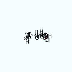 O=C1CCC(N2Cc3c(C#CCCCNC(=O)c4ccc(NC(=O)[C@@H]5NC6(CCCCC6)[C@@]6(C(=O)Nc7cc(Cl)ccc76)[C@H]5c5cccc(Cl)c5F)cc4)cccc3C2=O)C(=O)N1